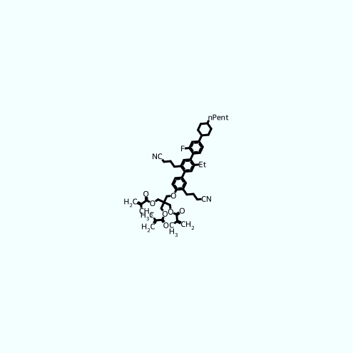 C=C(C)C(=O)OCC(COC(=O)C(=C)C)(COC(=O)C(=C)C)COc1ccc(-c2cc(CC)c(-c3ccc(C4CCC(CCCCC)CC4)cc3F)cc2CCCC#N)cc1CCCC#N